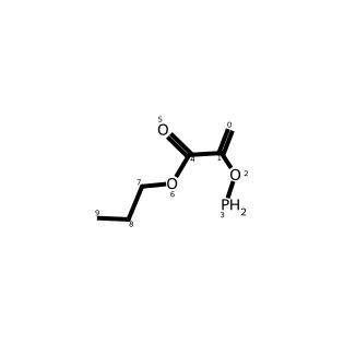 C=C(OP)C(=O)OCCC